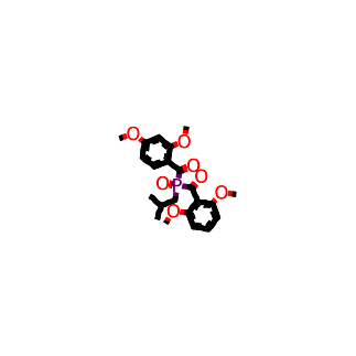 COc1ccc(C(=O)P(=O)(CC(C)C)C(=O)c2c(OC)cccc2OC)c(OC)c1